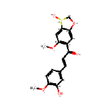 COc1ccc(/C=C/C(=O)c2cc3c(cc2OC)[S+]([O-])CO3)cc1O